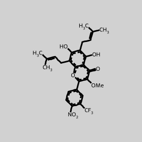 COc1c(-c2ccc([N+](=O)[O-])c(C(F)(F)F)c2)oc2c(CC=C(C)C)c(O)c(CC=C(C)C)c(O)c2c1=O